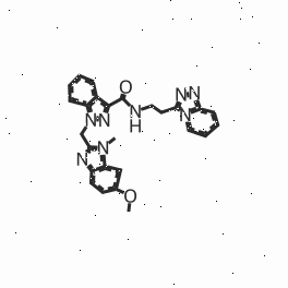 COc1ccc2nc(Cn3nc(C(=O)NCCc4nnc5ccccn45)c4ccccc43)n(C)c2c1